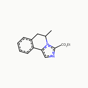 CCOC(=O)c1ncc2n1C(C)Cc1ccccc1-2